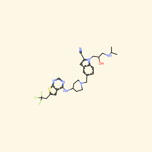 CC(C)NCC(O)Cn1c(C#N)cc2cc(CN3CCC(Nc4ncnc5sc(CC(F)(F)F)cc45)CC3)ccc21